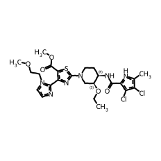 CCO[C@H]1CN(c2nc(-c3nccn3CCOC)c(C(=O)OC)s2)CC[C@H]1NC(=O)c1[nH]c(C)c(Cl)c1Cl